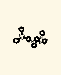 c1ccc(-c2nc(-c3ccccc3)nc(-c3ccc(-n4c5ccccc5c5c6c(ccc54)N(c4ccccc4)c4ccccc4O6)cc3)n2)cc1